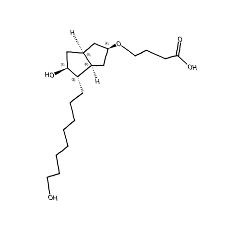 O=C(O)CCCO[C@@H]1C[C@@H]2C[C@H](O)[C@@H](CCCCCCCCO)[C@@H]2C1